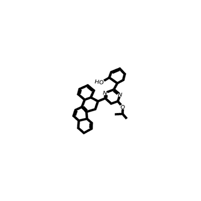 CC(C)OC1CC(C2CC3=C(C=CC4CCC=CC34)C3C=CC=CC32)=NC(C2CCC=CC2O)=N1